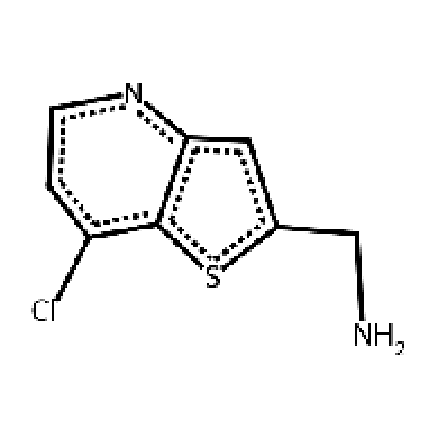 NCc1cc2nccc(Cl)c2s1